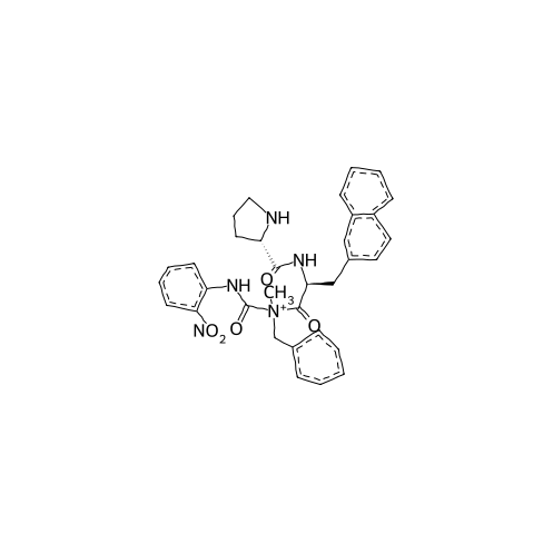 C[N+](Cc1ccccc1)(C(=O)Nc1ccccc1[N+](=O)[O-])C(=O)[C@H](Cc1ccc2ccccc2c1)NC(=O)[C@@H]1CCCN1